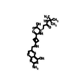 CC(C)(C)NC(=O)CC[C@H](NC(=O)C12CC(NCc3cnc4nc(N)nc(O)c4n3)(C1)C2)C(=O)O